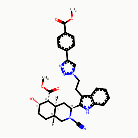 COC(=O)c1ccc(-c2cn(CCc3c([C@@H]4C[C@H]5[C@@H](CC[C@H](O)[C@@H]5C(=O)OC)CN4C#N)[nH]c4ccccc34)nn2)cc1